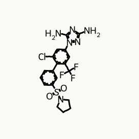 Nc1nc(N)n(-c2cc(Cl)c(-c3cccc(S(=O)(=O)N4CCCC4)c3)c(C(F)(F)F)c2)n1